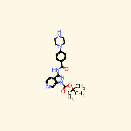 CC(C)(C)OC(=O)n1nc(NC(=O)c2ccc(N3CCNCC3)cc2)c2ccncc21